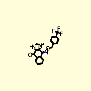 CN1CN(C)C2=C1C(=O)c1ccccc1/C2=N/OCc1ccc(C(F)(F)F)cc1